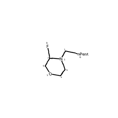 CCCCCCN1CCOCC1F